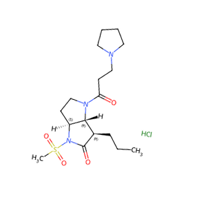 CCC[C@H]1C(=O)N(S(C)(=O)=O)[C@H]2CCN(C(=O)CCN3CCCC3)[C@H]12.Cl